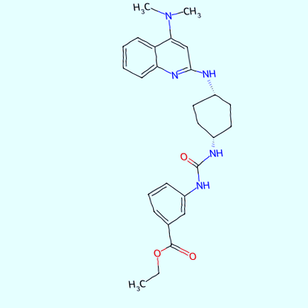 CCOC(=O)c1cccc(NC(=O)N[C@H]2CC[C@@H](Nc3cc(N(C)C)c4ccccc4n3)CC2)c1